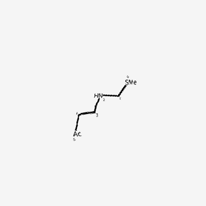 CSCNCCC(C)=O